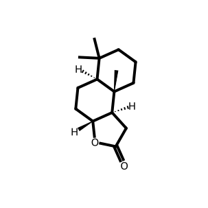 CC1(C)CCC[C@]2(C)[C@H]3CC(=O)O[C@@H]3CC[C@@H]12